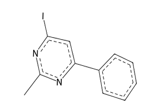 Cc1nc(I)cc(-c2ccccc2)n1